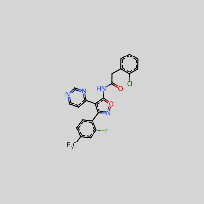 O=C(Cc1ccccc1Cl)Nc1onc(-c2ccc(C(F)(F)F)cc2F)c1-c1ccncn1